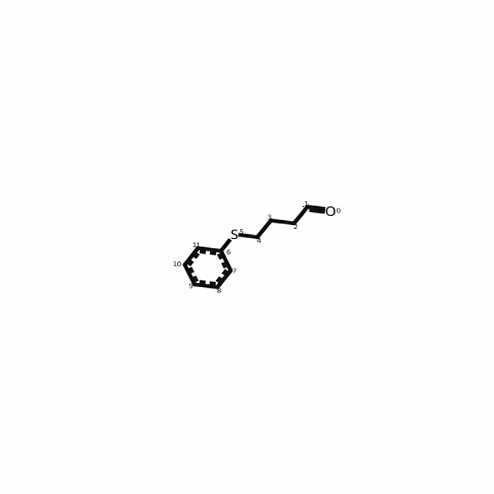 O=[C]CCCSc1ccccc1